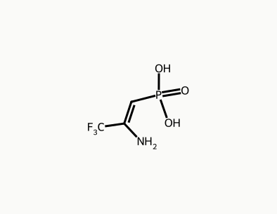 N/C(=C\P(=O)(O)O)C(F)(F)F